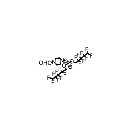 O=CN1CCN(OP(=O)(OCC(F)(F)C(F)(F)C(F)(F)C(F)F)OCC(F)(F)C(F)(F)C(F)(F)C(F)F)CC1